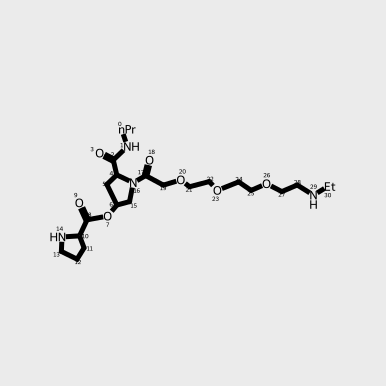 CCCNC(=O)C1CC(OC(=O)C2CCCN2)CN1C(=O)COCCOCCOCCNCC